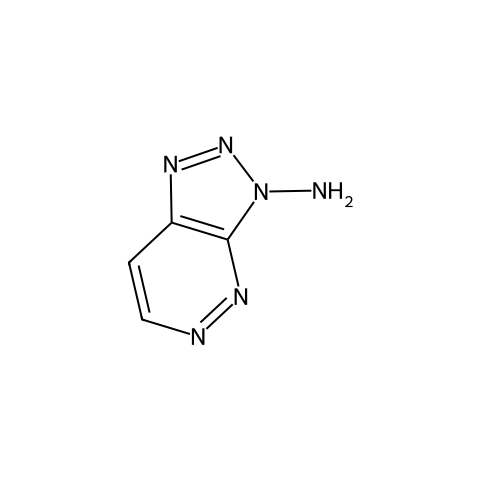 Nn1nnc2ccnnc21